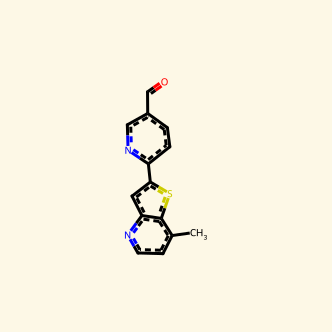 Cc1ccnc2cc(-c3ccc(C=O)cn3)sc12